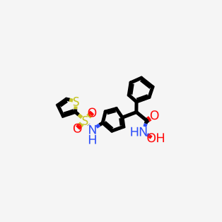 O=C(NO)C(c1ccccc1)c1ccc(NS(=O)(=O)c2cccs2)cc1